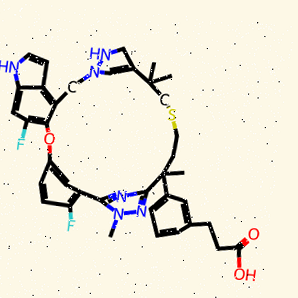 Cn1nc2nc1-c1cc(ccc1F)Oc1c(F)cc3[nH]ccc3c1CN1C=C(CN1)C(C)(C)CSCCC2(C)c1cccc(CCC(=O)O)c1